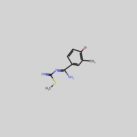 CSC(=N)/N=C(\N)c1ccc(Br)c(C)c1